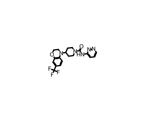 O=C(Nc1cccnn1)N1CCC(N2CCOc3cc(C(F)(F)F)ccc32)CC1